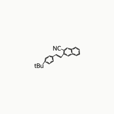 CC(C)(C)c1ccc(/C=C/c2cc3ccccc3cc2C#N)cc1